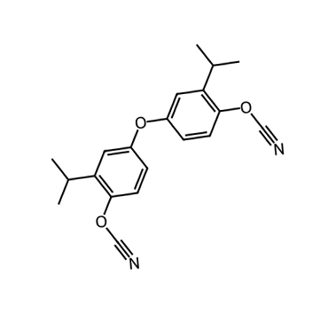 CC(C)c1cc(Oc2ccc(OC#N)c(C(C)C)c2)ccc1OC#N